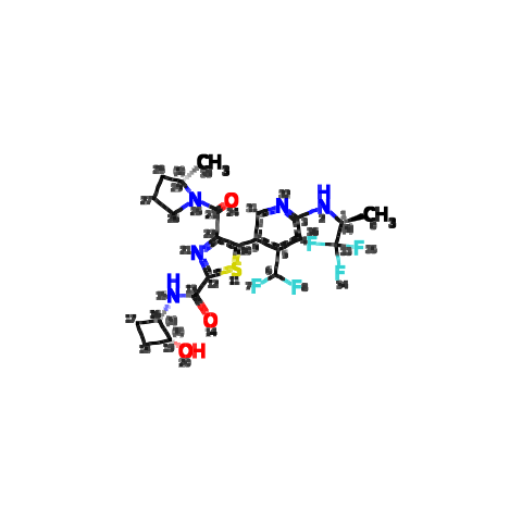 C[C@H](Nc1cc(C(F)F)c(-c2sc(C(=O)N[C@H]3CC[C@H]3O)nc2C(=O)N2CCC[C@@H]2C)cn1)C(F)(F)F